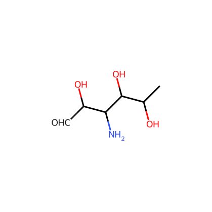 CC(O)C(O)C(N)C(O)C=O